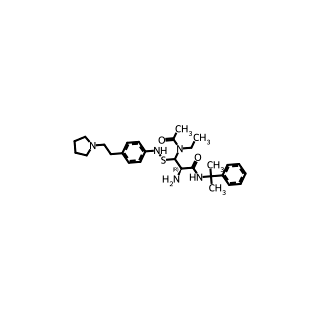 CCN(C(C)=O)C(SNc1ccc(CCN2CCCC2)cc1)[C@H](N)C(=O)NC(C)(C)c1ccccc1